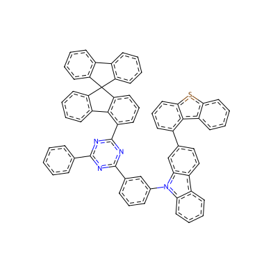 c1ccc(-c2nc(-c3cccc(-n4c5ccccc5c5ccc(-c6cccc7sc8ccccc8c67)cc54)c3)nc(-c3cccc4c3-c3ccccc3C43c4ccccc4-c4ccccc43)n2)cc1